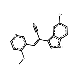 CSc1ccncc1C=C(C#N)c1c[nH]c2ccc(Br)cc12